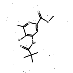 COC(=O)c1cc(NC(=O)C(C)(C)C)c(Br)c(C)n1